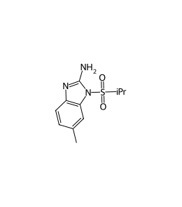 Cc1ccc2nc(N)n(S(=O)(=O)C(C)C)c2c1